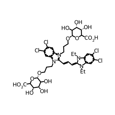 CCN1C(=CC=Cc2n(CCCO[C@@H]3OC(C(=O)O)[C@@H](O)[C@@H](O)C3O)c3cc(Cl)c(Cl)cc3[n+]2CCCO[C@H]2OC(C(=O)O)[C@H](O)[C@H](O)C2O)N(CC)c2cc(Cl)c(Cl)cc21